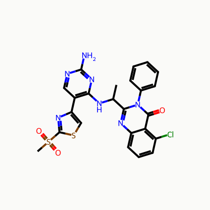 CC(Nc1nc(N)ncc1-c1csc(S(C)(=O)=O)n1)c1nc2cccc(Cl)c2c(=O)n1-c1ccccc1